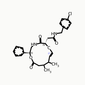 CC1/C=C/C[C@@H](CC(=O)NCc2ccc(Cl)cc2)C(=O)NC[C@H](c2ccccc2)OC(=O)CC1C